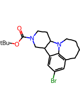 CC(C)(C)OC(=O)N1CCC2C(C1)c1cc(Br)cc3c1N2CCCC3